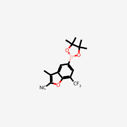 Cc1c(C#N)oc2c(C(F)(F)F)cc(B3OC(C)(C)C(C)(C)O3)cc12